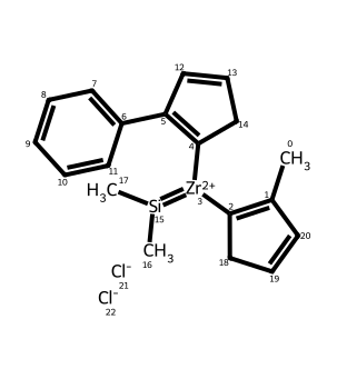 CC1=[C]([Zr+2]([C]2=C(c3ccccc3)C=CC2)=[Si](C)C)CC=C1.[Cl-].[Cl-]